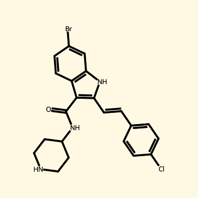 O=C(NC1CCNCC1)c1c(C=Cc2ccc(Cl)cc2)[nH]c2cc(Br)ccc12